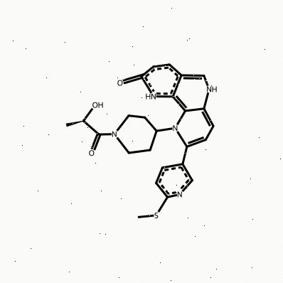 CSc1ccc(C2=CC=C3NC=c4ccc(=O)[nH]c4=C3N2C2CCN(C(=O)[C@@H](C)O)CC2)cn1